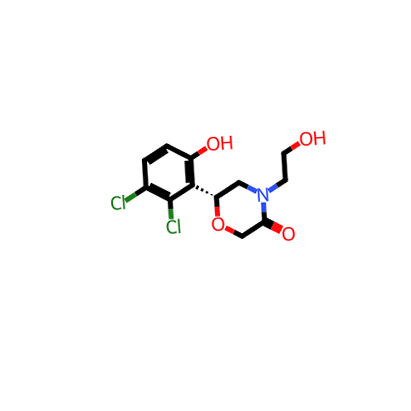 O=C1CO[C@H](c2c(O)ccc(Cl)c2Cl)CN1CCO